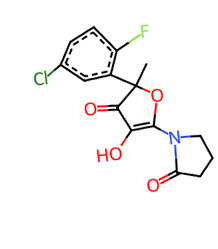 CC1(c2cc(Cl)ccc2F)OC(N2CCCC2=O)=C(O)C1=O